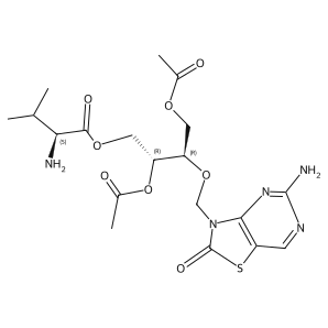 CC(=O)OC[C@@H](OCn1c(=O)sc2cnc(N)nc21)[C@@H](COC(=O)[C@@H](N)C(C)C)OC(C)=O